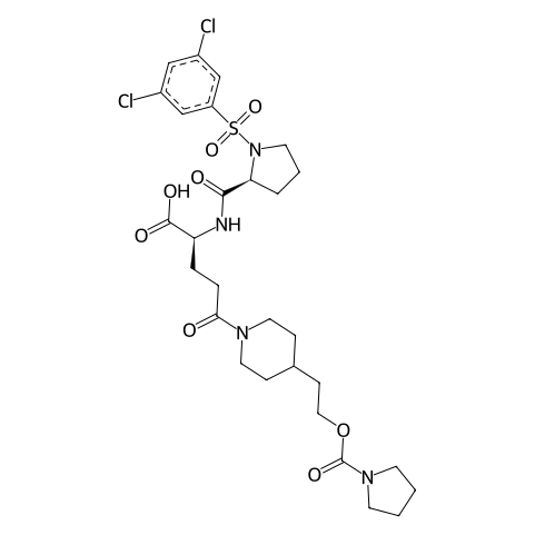 O=C(O)[C@H](CCC(=O)N1CCC(CCOC(=O)N2CCCC2)CC1)NC(=O)[C@@H]1CCCN1S(=O)(=O)c1cc(Cl)cc(Cl)c1